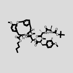 CCCCOC(=O)[C@@H]1Cc2ccc(OC)c(c2)Oc2ccc(cc2)C[C@H](N(C)C(=O)[C@H](C)NC(=O)[C@H](Cc2ccc(OC)c(F)c2)N(C)C(=O)[C@H](C)NC(=O)[C@@H](C)NC(=O)OC(C)(C)C)C(=O)N1